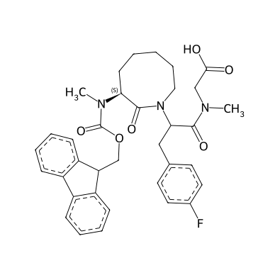 CN(CC(=O)O)C(=O)C(Cc1ccc(F)cc1)N1CCCCC[C@H](N(C)C(=O)OCC2c3ccccc3-c3ccccc32)C1=O